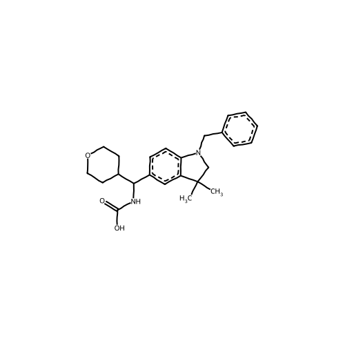 CC1(C)CN(Cc2ccccc2)c2ccc(C(NC(=O)O)C3CCOCC3)cc21